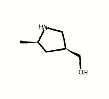 C[C@@H]1C[C@H](CO)CN1